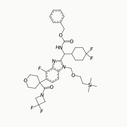 C[Si](C)(C)CCOCn1c(C(NC(=O)OCc2ccccc2)C2CCC(F)(F)CC2)nc2c(F)c(C3(C(=O)N4CC(F)(F)C4)CCOCC3)ccc21